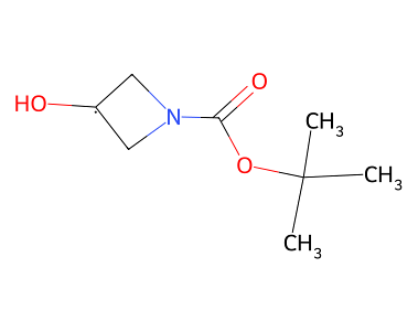 CC(C)(C)OC(=O)N1C[C](O)C1